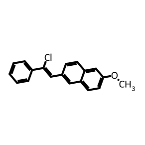 COc1ccc2cc(C=C(Cl)c3ccccc3)ccc2c1